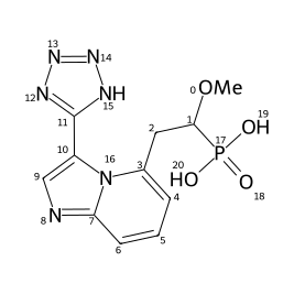 COC(Cc1cccc2ncc(-c3nnn[nH]3)n12)P(=O)(O)O